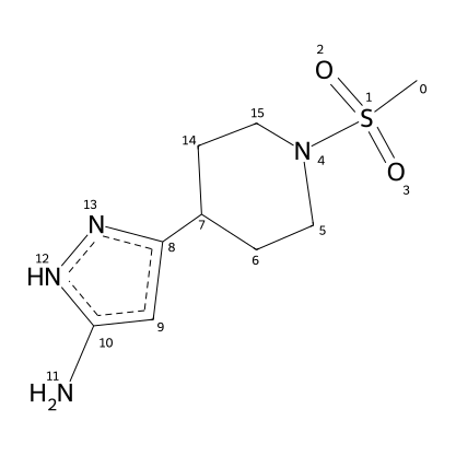 CS(=O)(=O)N1CCC(c2cc(N)[nH]n2)CC1